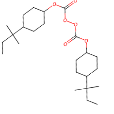 CCC(C)(C)C1CCC(OC(=O)OOC(=O)OC2CCC(C(C)(C)CC)CC2)CC1